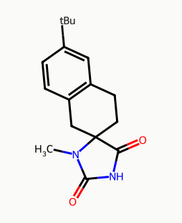 CN1C(=O)NC(=O)C12CCc1cc(C(C)(C)C)ccc1C2